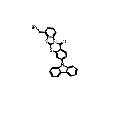 CC(C)Cc1cccc2c1nc1sc3cc(-n4c5ccccc5c5ccccc54)ccc3c(=O)n12